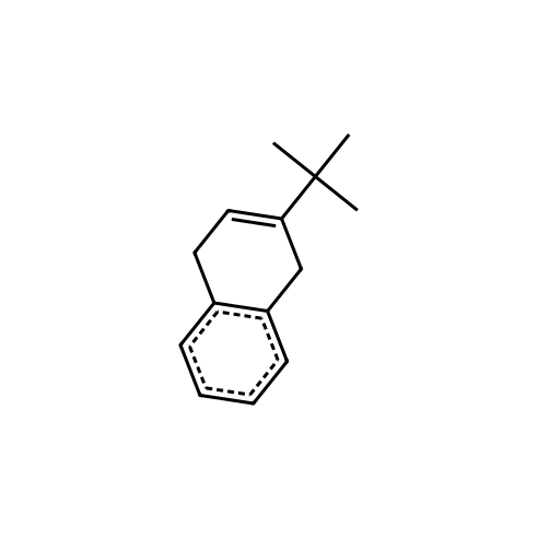 CC(C)(C)C1=CCc2ccccc2C1